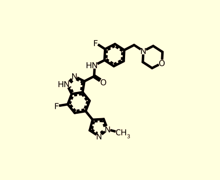 Cn1cc(-c2cc(F)c3[nH]nc(C(=O)Nc4ccc(CN5CCOCC5)cc4F)c3c2)cn1